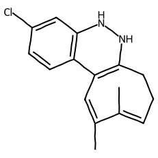 CC1=C/C2=C(CC\C=C\1C)NNc1cc(Cl)ccc12